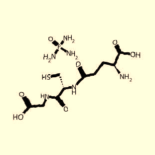 NP(N)(N)=O.N[C@@H](CCC(=O)N[C@@H](CS)C(=O)NCC(=O)O)C(=O)O